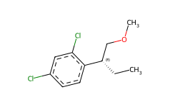 CC[C@@H](COC)c1ccc(Cl)cc1Cl